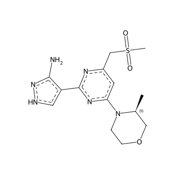 C[C@H]1COCCN1c1cc(CS(C)(=O)=O)nc(-c2c[nH]nc2N)n1